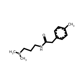 Cc1ccc(CC(=O)NCCCN(C)C)cc1